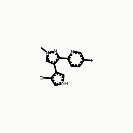 Cn1cc(-c2c[nH]cc2Cl)c(-c2ccc(F)cn2)n1